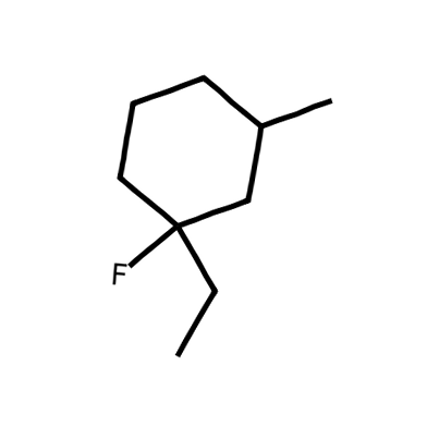 CCC1(F)CCCC(C)C1